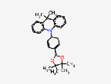 CC1(C)c2ccccc2N(C2C=CC(B3OC(C)(C)C(C)(C)O3)=CC2)c2ccccc21